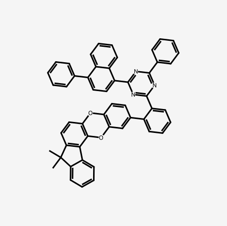 CC1(C)c2ccccc2-c2c1ccc1c2Oc2cc(-c3ccccc3-c3nc(-c4ccccc4)nc(-c4ccc(-c5ccccc5)c5ccccc45)n3)ccc2O1